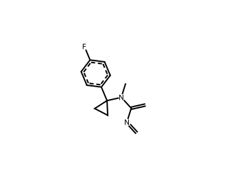 C=NC(=C)N(C)C1(c2ccc(F)cc2)CC1